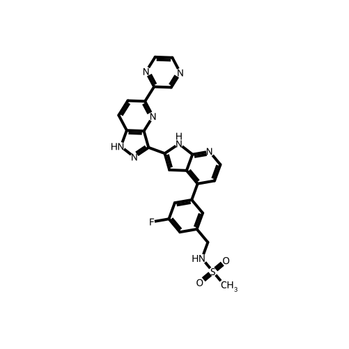 CS(=O)(=O)NCc1cc(F)cc(-c2ccnc3[nH]c(-c4n[nH]c5ccc(-c6cnccn6)nc45)cc23)c1